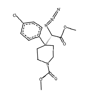 COC(=O)[C@@H](N=[N+]=[N-])C1(c2ccc(Cl)cc2)CCN(C(=O)OC)CC1